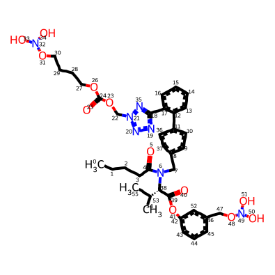 CCCCC(=O)N(Cc1ccc(-c2ccccc2-c2nnn(COC(=O)OCCCCON(O)O)n2)cc1)[C@H](C(=O)Oc1cccc(CON(O)O)c1)C(C)C